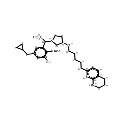 COc1c(Cl)cc(CC2CC2)cc1C(C(=O)O)N1CC[C@@H](OCCCCCc2ccc3c(n2)NCCC3)C1